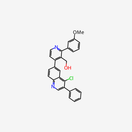 COc1cccc(-c2nccc(-c3ccc4ncc(-c5ccccc5)c(Cl)c4c3)c2CO)c1